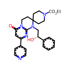 CCOC(=O)N1CCC2(CC1)CCn1c(nc(-c3ccncc3)cc1=O)N2C[C@@H](O)c1ccccc1